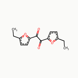 CCc1ccc(C(=O)C(=O)c2ccc(CC)o2)o1